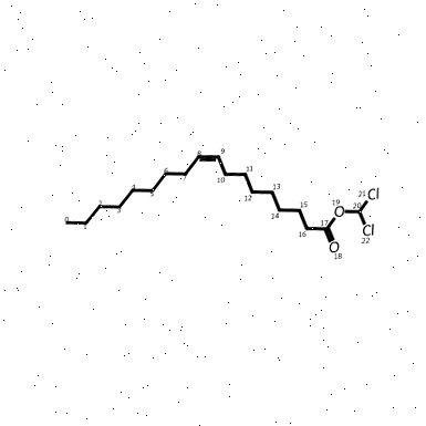 CCCCCCCC/C=C\CCCCCCCC(=O)OC(Cl)Cl